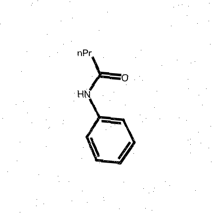 C[CH]CC(=O)Nc1ccccc1